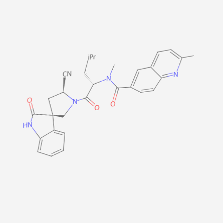 Cc1ccc2cc(C(=O)N(C)[C@@H](CC(C)C)C(=O)N3C[C@]4(C[C@H]3C#N)C(=O)Nc3ccccc34)ccc2n1